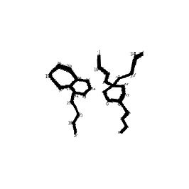 CCCCC1CCC(CCCC)(CCCC)CC1.CCCCC1CCCC2CCCCC12